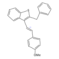 COc1ccc(/C=C/c2c(Cc3ccccc3)sc3ccccc23)cc1